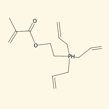 C=CC[PH](CC=C)(CC=C)CCOC(=O)C(=C)C